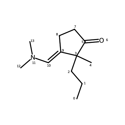 CCCC1(C)C(=O)CCC1=CN(C)C